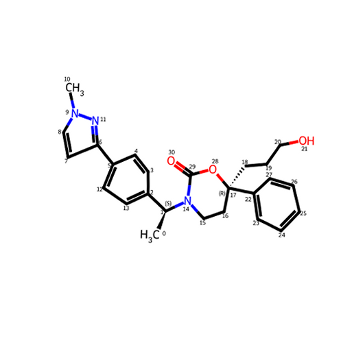 C[C@@H](c1ccc(-c2ccn(C)n2)cc1)N1CC[C@](CCCO)(c2ccccc2)OC1=O